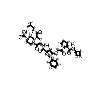 CC(C)COC(=O)CC[C@H](NC(=O)c1cc(OCC(=O)N2CCC[C@H]2C(=O)NC2CCC2)n(-c2ccccc2)n1)C(=O)N1CCN(C(=O)O)CC1